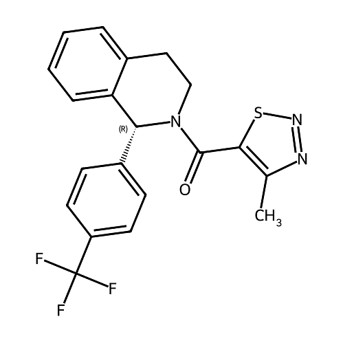 Cc1nnsc1C(=O)N1CCc2ccccc2[C@H]1c1ccc(C(F)(F)F)cc1